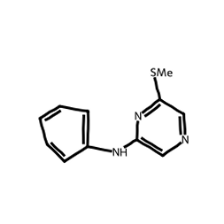 CSc1cncc(Nc2ccccc2)n1